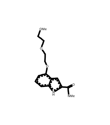 CNC(=O)c1cc2c(OCCOCCOC)cccc2[nH]1